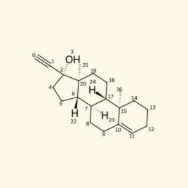 C#C[C@]1(O)CC[C@H]2[C@@H]3CCC4=CCCC[C@]4(C)[C@H]3CC[C@@]21C